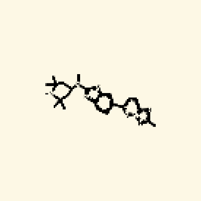 Cc1nc2ccc(-c3ccc4nc(N(C)C5CC(C)(C)NC(C)(C)C5)sc4c3)nn2n1